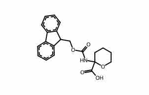 O=C(NC1(C(=O)O)CCCCO1)OCC1c2ccccc2-c2ccccc21